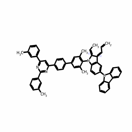 C=C/C=c1\c(=C/C)n(-c2c(C)cc(-c3ccc(-c4cc(-c5cccc(C)c5)nc(-c5cccc(C)c5)n4)cc3)cc2C)c2ccc(-n3c4ccccc4c4ccccc43)cc12